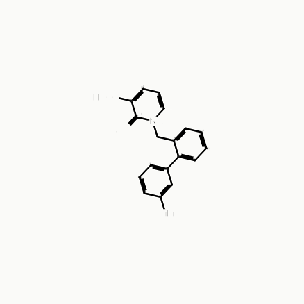 CC(C)c1cccc(-c2ccccc2Cn2cccc(C(=O)O)c2=O)c1